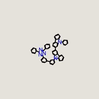 c1ccc(-c2nc(-c3ccccc3)nc(-c3cccc(-c4cccc(-n5c6ccccc6c6cc(-c7ccc8c9ccccc9n(-c9ccccc9)c8c7)ccc65)c4)c3)n2)cc1